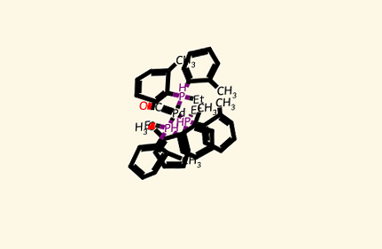 CC[PH](c1ccccc1C)(c1ccccc1C)[Pd](=[C]=O)([PH](CC)(c1ccccc1C)c1ccccc1C)[PH](CC)(c1ccccc1C)c1ccccc1C